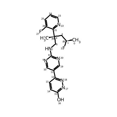 C[C@@H](F)C[C@](C)(CNc1ncc(-c2ccc(O)nn2)cn1)c1ncccc1F